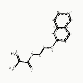 C=C(C)C(=O)OCCOc1ccc2cnccc2c1